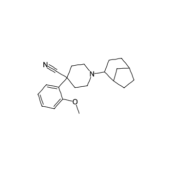 COc1ccccc1C1(C#N)CCN(C2CCC3CCC2C3)CC1